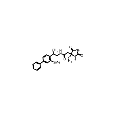 CSc1cc(-c2ccccc2)ccc1C(C)CNC(=O)CC1(C)NC(=O)NC1=O